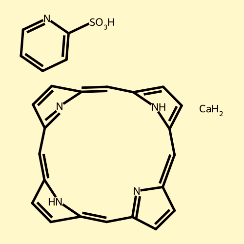 C1=Cc2cc3ccc(cc4nc(cc5ccc(cc1n2)[nH]5)C=C4)[nH]3.O=S(=O)(O)c1ccccn1.[CaH2]